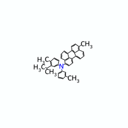 Cc1cccc(N(c2ccc(C)c(C(C)C)c2)c2ccc3c4cccc5c(C)ccc(c6cccc2c63)c54)c1